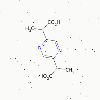 CC(C(=O)O)c1cnc(C(C)C(=O)O)cn1